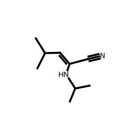 CC(C)C=C(C#N)NC(C)C